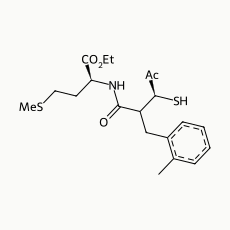 CCOC(=O)[C@H](CCSC)NC(=O)C(Cc1ccccc1C)[C@H](S)C(C)=O